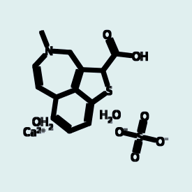 CN1C=CC2C=CC=C3SC(C(=O)O)C(=C32)C1.O.O.O=S(=O)([O-])[O-].[Ca+2]